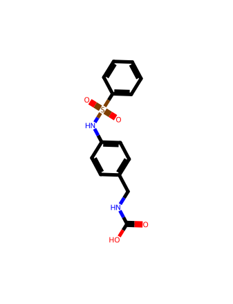 O=C(O)NCc1ccc(NS(=O)(=O)c2ccccc2)cc1